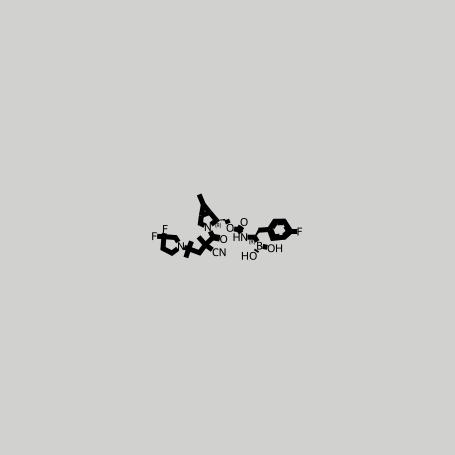 CC1C2CN(C(=O)C(C)(C#N)CC(C)(C)N3CCC(F)(F)C3)[C@@H](COC(=O)N[C@@H](Cc3ccc(F)cc3)B(O)O)C12